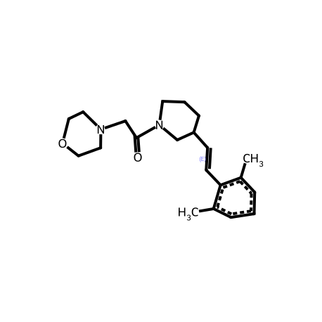 Cc1cccc(C)c1/C=C/C1CCCN(C(=O)CN2CCOCC2)C1